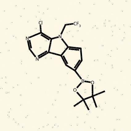 CC1(C)OB(c2ccc3c(c2)c2ncnc(Cl)c2n3CC(F)(F)F)OC1(C)C